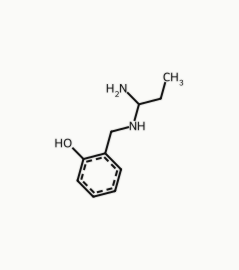 CCC(N)NCc1ccccc1O